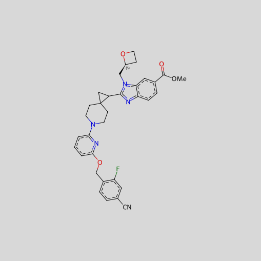 COC(=O)c1ccc2nc(C3CC34CCN(c3cccc(OCc5ccc(C#N)cc5F)n3)CC4)n(C[C@@H]3CCO3)c2c1